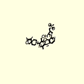 Cc1nc(N2CCC3(CC2)CO[C@@H](C)[C@H]3C)c(CO)nc1Sc1ccnc(N2CC(CS(C)(=O)=O)C2)c1Cl